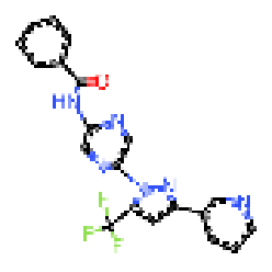 O=C(Nc1cnc(-n2nc(-c3cccnc3)cc2C(F)(F)F)cn1)c1ccccc1